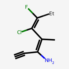 C#C/C(N)=C(C)\C(Cl)=C(\F)CC